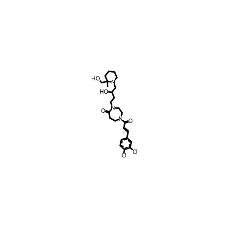 CC1(CO)CCCCN1CC(O)CCN1CCN(C(=O)/C=C/c2ccc(Cl)c(Cl)c2)CCC1=O